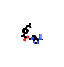 CNc1ncnc2c1ccn2COC(=O)C(C)c1ccc(CC(C)C)cc1